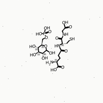 N[C@@H](CCC(=O)N[C@@H](CS)C(=O)NCC(=O)O)C(=O)O.O=P(O)(O)OC[C@H]1OC(O)[C@H](O)[C@@H](O)[C@@H]1O